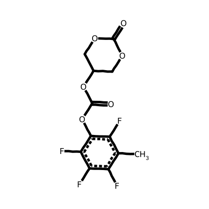 Cc1c(F)c(F)c(F)c(OC(=O)OC2COC(=O)OC2)c1F